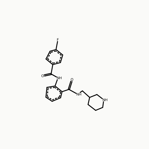 O=C(Nc1ccccc1C(=O)NCC1CCCNC1)c1ccc(F)cc1